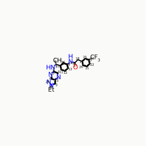 CCn1cc2ncc(N[C@@H](C)c3cccc(NC(=O)Cc4cccc(C(F)(F)F)c4)c3)nc2n1